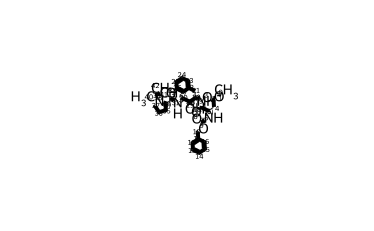 COC(=O)C[C@H](NC(=O)OCc1ccccc1)C(=O)N[C@@H](Cc1ccccc1)[C@H](O)CNC(=O)[C@@H]1CCCN1C(C)(C)C